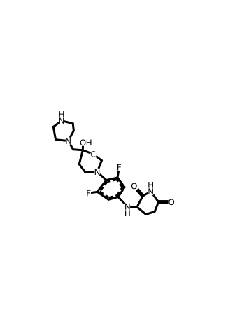 O=C1CCC(Nc2cc(F)c(N3CCC(O)(CN4CCNCC4)CC3)c(F)c2)C(=O)N1